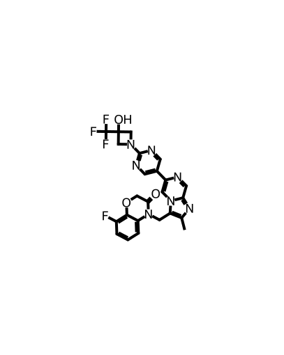 Cc1nc2cnc(-c3cnc(N4CC(O)(C(F)(F)F)C4)nc3)cn2c1CN1C(=O)COc2c(F)cccc21